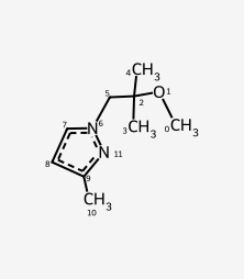 COC(C)(C)Cn1ccc(C)n1